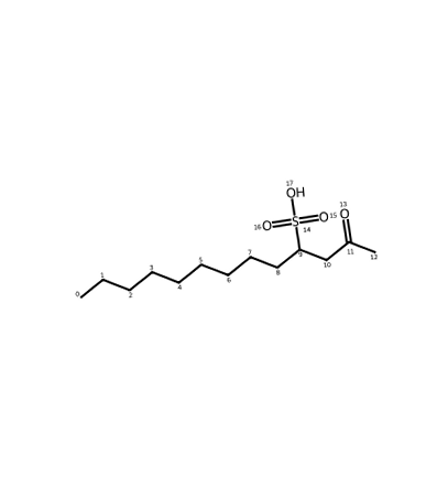 CCCCCCCCCC(CC(C)=O)S(=O)(=O)O